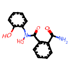 NC(=O)c1ccccc1C(=O)N(O)c1ccccc1O